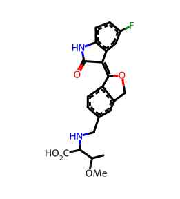 COC(C)C(NCc1ccc2c(c1)COC2=C1C(=O)Nc2ccc(F)cc21)C(=O)O